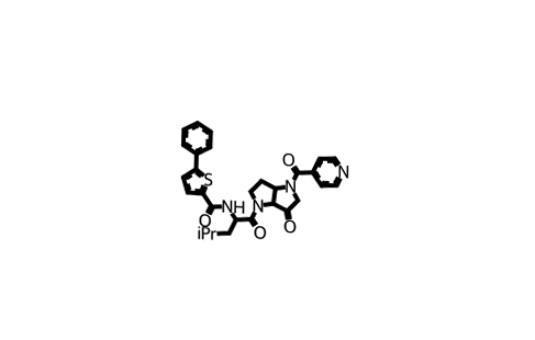 CC(C)CC(NC(=O)c1ccc(-c2ccccc2)s1)C(=O)N1CCC2C1C(=O)CN2C(=O)c1ccncc1